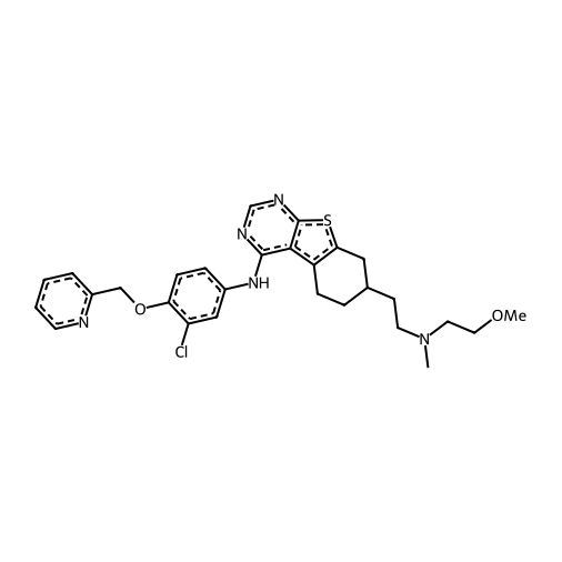 COCCN(C)CCC1CCc2c(sc3ncnc(Nc4ccc(OCc5ccccn5)c(Cl)c4)c23)C1